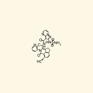 C#Cc1ccc2c3c(c([C@@H](C)NC(=O)c4c(NS(N)(=O)=O)nn5cccnc45)n(-c4ccccc4)c(=O)c13)CC2